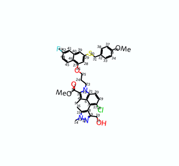 COC(=O)c1c(C)c2c(-c3c(CO)nn(C)c3C)c(Cl)ccc2n1CCCOc1cc(SCc2ccc(OC)cc2)cc2cc(F)ccc12